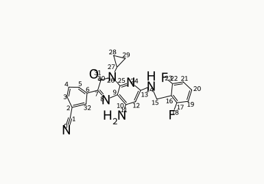 N#Cc1cccc(-c2nc3c(N)cc(NCc4c(F)cccc4F)nc3n(C3CC3)c2=O)c1